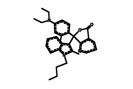 CCCCn1c(C)c(C2(c3ccc(N(CC)CC)cc3C)OC(=O)c3cccnc32)c2ccccc21